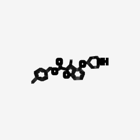 Cc1ccc(COC(=O)c2oc3cccc(OC4CCNCC4)c3c2C)cc1